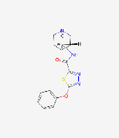 O=C(N[C@H]1CN2CCC1CC2)c1nnc(Oc2ccccc2)s1